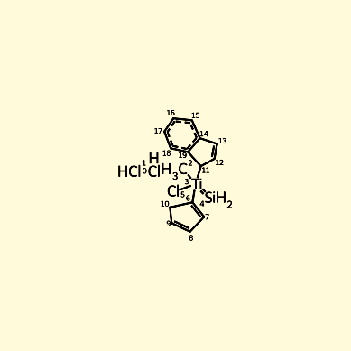 Cl.Cl.[CH3][Ti](=[SiH2])([Cl])([C]1=CC=CC1)[CH]1C=Cc2ccccc21